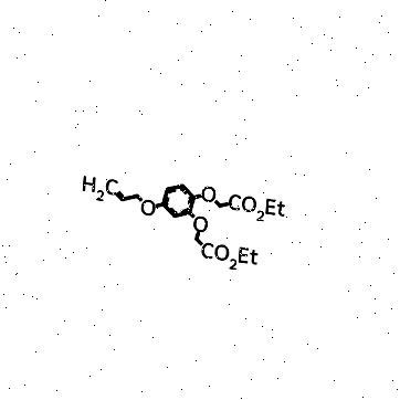 C=CCOc1ccc(OCC(=O)OCC)c(OCC(=O)OCC)c1